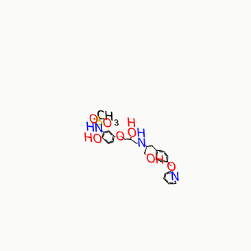 CS(=O)(=O)Nc1cc(OC[C@@H](O)CN[C@H](CO)Cc2ccc(Oc3ccccn3)cc2)ccc1O